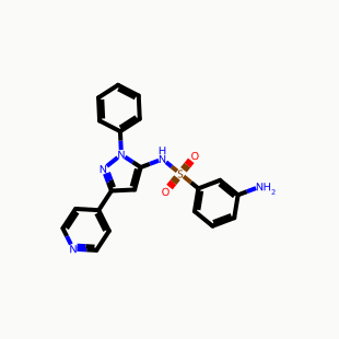 Nc1cccc(S(=O)(=O)Nc2cc(-c3ccncc3)nn2-c2ccccc2)c1